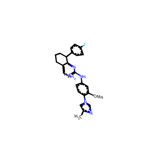 C=C(/N=C1\C(=C/N)CCCC1c1ccc(F)cc1)Nc1ccc(-n2cnc(C)c2)c(OC)c1